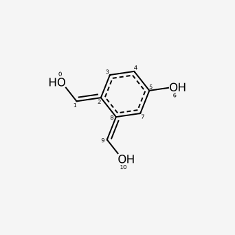 OC=c1ccc(O)cc1=CO